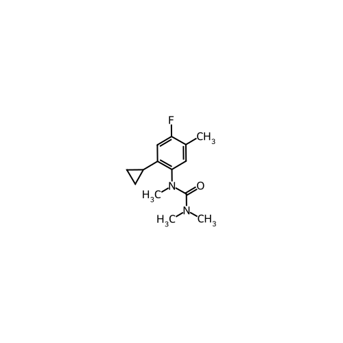 Cc1cc(N(C)C(=O)N(C)C)c(C2CC2)cc1F